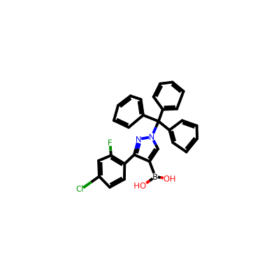 OB(O)c1cn(C(c2ccccc2)(c2ccccc2)c2ccccc2)nc1-c1ccc(Cl)cc1F